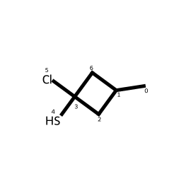 CC1CC(S)(Cl)C1